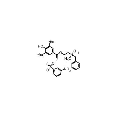 CC(C)(C)c1cc(C(=O)OCC[N+](C)(C)Cc2ccccc2)cc(C(C)(C)C)c1O.O=[N+]([O-])c1cccc(S(=O)(=O)[O-])c1